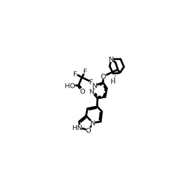 C1=CN2ONC=C2C=C1c1ccc(O[C@H]2CN3CCC2CC3)nn1.O=C(O)C(F)(F)F